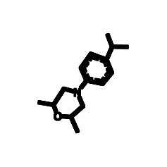 CC1CN(c2ccc(C(C)C)cc2)CC(C)O1